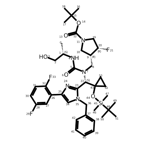 C[C@@H](CO)NC(=O)N(C[C@@H]1CN(C(=O)OC(C)(C)C)C[C@@H]1F)[C@@H](c1nc(-c2cc(F)ccc2F)cn1Cc1ccccc1)C1(O[Si](C)(C)C(C)(C)C)CC1